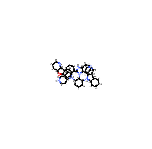 c1cc(-n2c3ccccc3c3cnccc32)c(-n2c(-c3ccc4oc5cccnc5c4c3)nc3ccccc32)c(-n2c3ccccc3c3cnccc32)c1